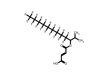 CC(C)C(OC(=O)C=CC(=O)O)C(F)(F)C(F)(F)C(F)(F)C(F)(F)C(F)(F)C(F)(F)C(F)(F)C(F)(F)C(F)(F)F